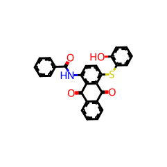 O=C(Nc1ccc(Sc2ccccc2O)c2c1C(=O)c1ccccc1C2=O)c1ccccc1